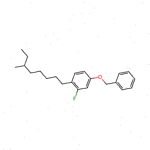 CCC(C)CCCCCc1ccc(OCc2ccccc2)cc1F